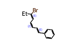 CC\C(Br)=C/C=C\C=C\c1ccccc1